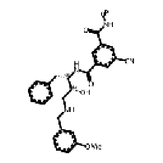 CCCNC(=O)c1cc(C#N)cc(C(=O)N[C@@H](Cc2ccccc2)[C@H](O)CNCc2cccc(OC)c2)c1